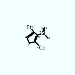 CCC1=CC[C]([Co])=C1[SiH](C)C